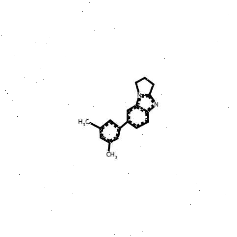 Cc1cc(C)cc(-c2ccc3nc4n(c3c2)CCC4)c1